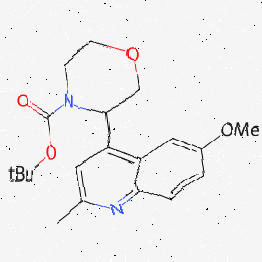 COc1ccc2nc(C)cc(C3COCCN3C(=O)OC(C)(C)C)c2c1